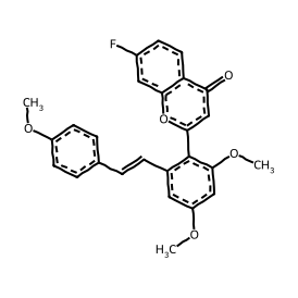 COc1ccc(/C=C/c2cc(OC)cc(OC)c2-c2cc(=O)c3ccc(F)cc3o2)cc1